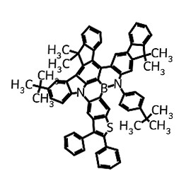 CC(C)(C)c1ccc(N2B3c4cc5sc(-c6ccccc6)c(-c6ccccc6)c5cc4-n4c5ccc(C(C)(C)C)cc5c5c6c(c(c3c54)-c3cc4c(cc32)C(C)(C)c2ccccc2-4)-c2ccccc2C6(C)C)cc1